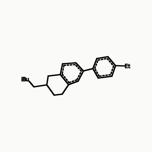 CCc1ccc(-c2ccc3c(c2)CCC(CC(C)CC)C3)cc1